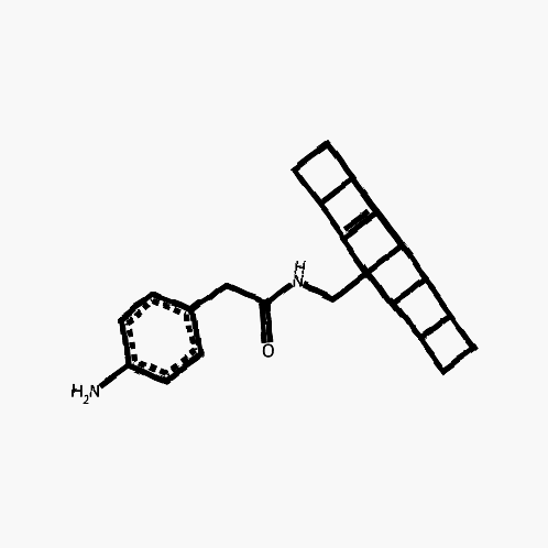 Nc1ccc(CC(=O)NCC23C4=C(C5CCC45)C2C2C4CCC4C23)cc1